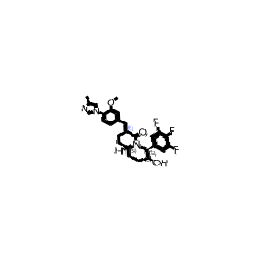 COc1cc(/C=C2\CC[C@H]3CC[C@H](O)[C@H](c4cc(F)c(F)c(F)c4)N3C2=O)ccc1-n1cnc(C)c1